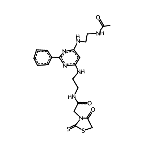 CC(=O)NCCNc1cc(NCCNC(=O)CN2C(=O)CSC2=S)nc(-c2ccccc2)n1